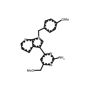 COCc1cc(-c2cn(Cc3ccc(OC)cc3)c3ncccc23)nc(N)n1